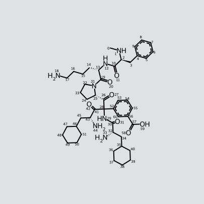 CN[C@@H](Cc1ccccc1)C(=O)N[C@@H](CCCCN)C(=O)N1CCC[C@H]1C(=O)C(NC(=O)[C@@H](N)CC1CCCCC1)(C(=O)[C@H](N)CC1CCCCC1)c1cccc(C(=O)O)c1